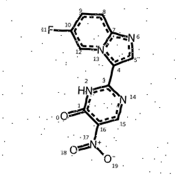 O=c1[nH]c(-c2cnc3ccc(F)cn23)ncc1[N+](=O)[O-]